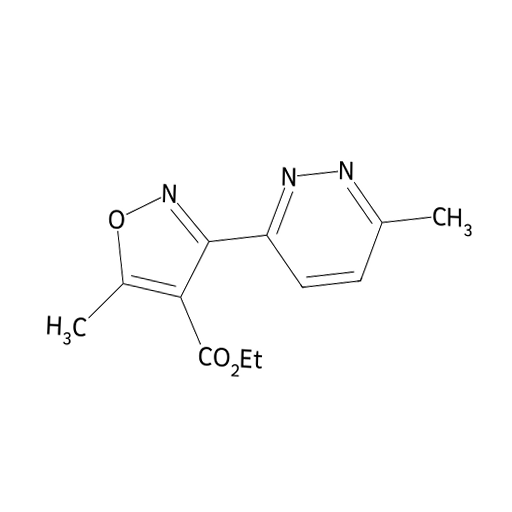 CCOC(=O)c1c(-c2ccc(C)nn2)noc1C